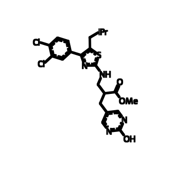 COC(=O)C(CNc1nc(-c2ccc(Cl)c(Cl)c2)c(CC(C)C)s1)Cc1cnc(O)nc1